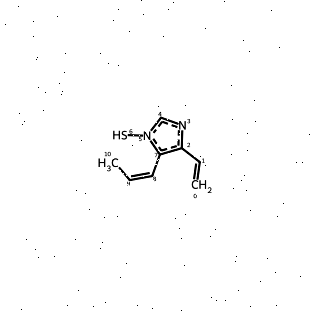 C=Cc1ncn(S)c1/C=C\C